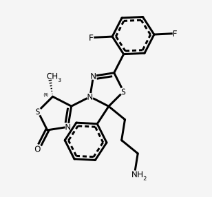 C[C@H]1SC(=O)N=C1N1N=C(c2cc(F)ccc2F)SC1(CCCN)c1ccccc1